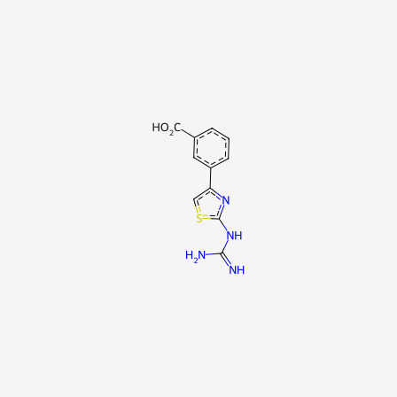 N=C(N)Nc1nc(-c2cccc(C(=O)O)c2)cs1